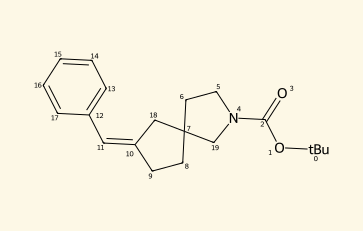 CC(C)(C)OC(=O)N1CCC2(CC/C(=C/c3ccccc3)C2)C1